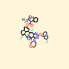 C#Cc1c(F)ccc2cc(OC(=O)C(c3ccccc3)N(C)C)cc(-c3ncc4c(N5CCCOCC5)nc(OC[C@@]56CCCN5C[C@H](F)C6)nc4c3F)c12